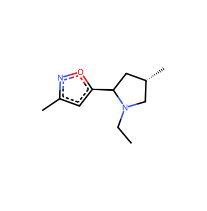 CCN1C[C@@H](C)CC1c1cc(C)no1